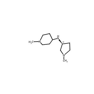 CN1CCC(N[C@H]2CCN(C)C2)CC1